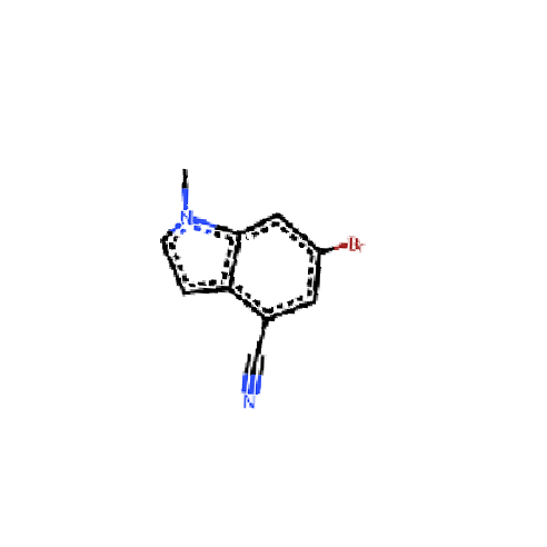 Cn1ccc2c(C#N)cc(Br)cc21